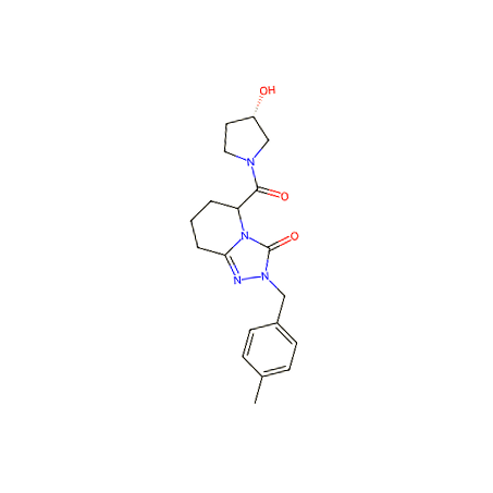 Cc1ccc(Cn2nc3n(c2=O)C(C(=O)N2CC[C@H](O)C2)CCC3)cc1